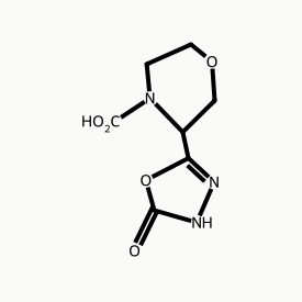 O=C(O)N1CCOCC1c1n[nH]c(=O)o1